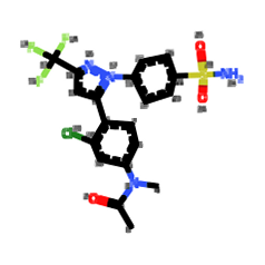 CC(=O)N(C)c1ccc(-c2cc(C(F)(F)F)nn2-c2ccc(S(N)(=O)=O)cc2)c(Cl)c1